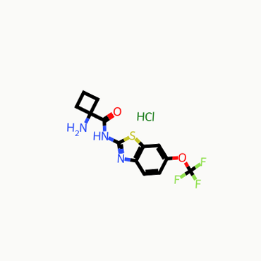 Cl.NC1(C(=O)Nc2nc3ccc(OC(F)(F)F)cc3s2)CCC1